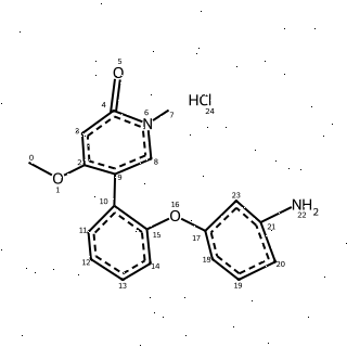 COc1cc(=O)n(C)cc1-c1ccccc1Oc1cccc(N)c1.Cl